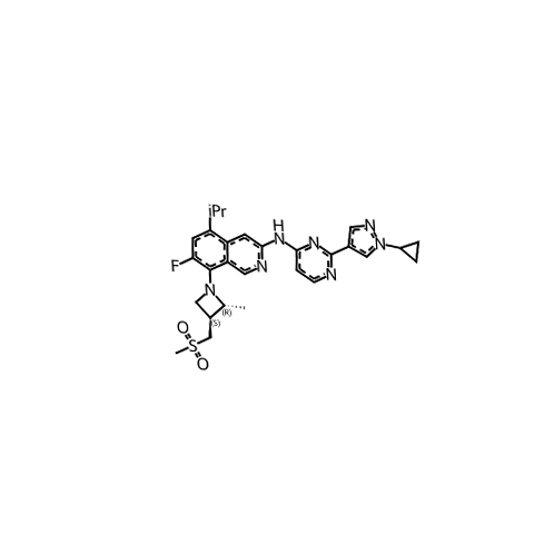 CC(C)c1cc(F)c(N2C[C@H](CS(C)(=O)=O)[C@H]2C)c2cnc(Nc3ccnc(-c4cnn(C5CC5)c4)n3)cc12